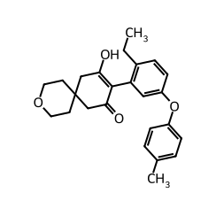 CCc1ccc(Oc2ccc(C)cc2)cc1C1=C(O)CC2(CCOCC2)CC1=O